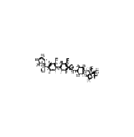 O=C(c1ccc(-c2ccc(OCC3CCN(CC4(C(F)(F)F)CCC4)CC3)c(F)c2)c(F)c1)N1CCCC1